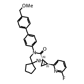 COCc1ccc(-c2ccc(N(CC3(N)CCCC3)C(=O)[C@H]3C[C@@H]3c3cccc(F)n3)cc2)cc1